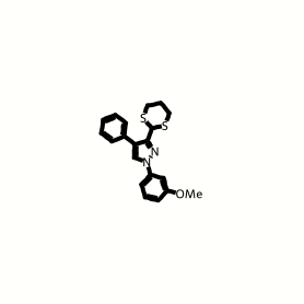 COc1cccc(-n2cc(-c3ccccc3)c(C3SCCCS3)n2)c1